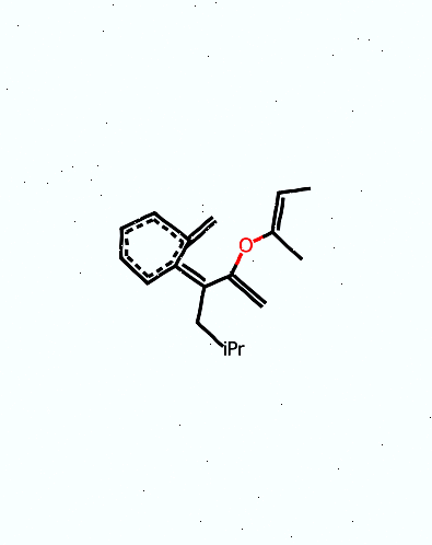 C=C(O/C(C)=C/C)/C(CC(C)C)=c1/ccccc1=C